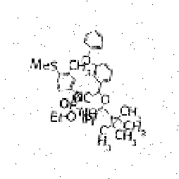 CC1(C)C(C(=O)OC(C#N)c2cccc(Oc3ccccc3)c2)C1(C)C.CCOP(=O)(NC(C)C)Oc1ccc(SC)c(C)c1